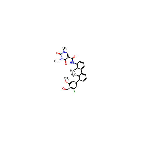 COc1cc(-c2cccc(-c3cccc(NC(=O)c4cn(C)c(=O)n(C)c4=O)c3C)c2C)cc(F)c1C=O